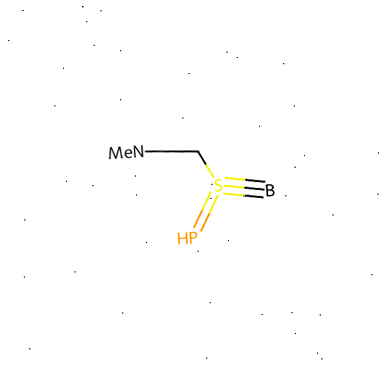 B#S(=P)CNC